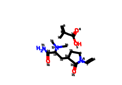 C=C(C)C(=O)O.C=CN1CCC(CC(C(N)=O)N(C)C)C1=O